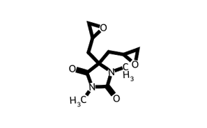 CN1C(=O)N(C)C(CC2CO2)(CC2CO2)C1=O